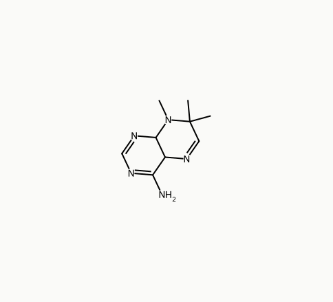 CN1C2N=CN=C(N)C2N=CC1(C)C